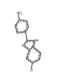 O=[N+]([O-])c1ccc(-c2nc3cc(Cl)ccc3[nH]2)cc1